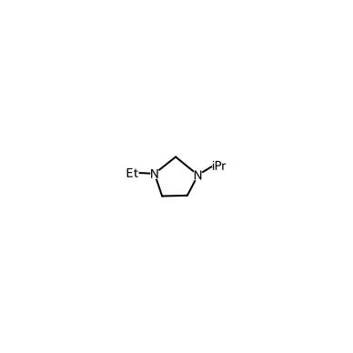 CCN1CCN(C(C)C)C1